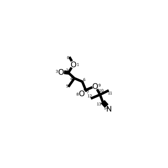 COC(=O)C(C)CC(=O)OC(C)(C)C#N